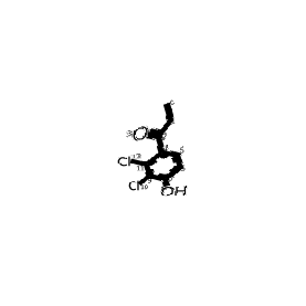 C=CC(=O)c1ccc(O)c(Cl)c1Cl